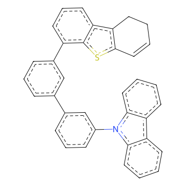 C1=Cc2sc3c(-c4cccc(-c5cccc(-n6c7ccccc7c7ccccc76)c5)c4)cccc3c2CC1